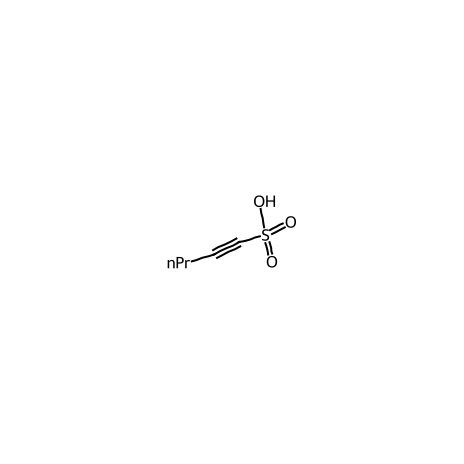 CCCC#CS(=O)(=O)O